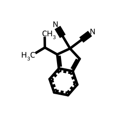 CC(C)C1=c2ccccc2=CC1(C#N)C#N